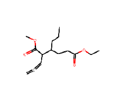 C=C=CC(C(=O)OC)C(CCC)CCC(=O)OCC